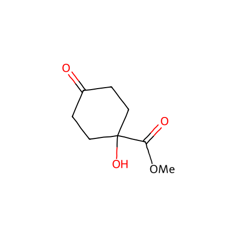 COC(=O)C1(O)CCC(=O)CC1